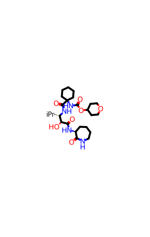 CC(C)[C@H](NC(=O)C1(NC(=O)OC2CCOCC2)CCCCC1)[C@H](O)C(=O)N[C@H]1CCCCNC1=O